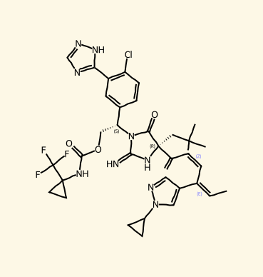 C=C(/C=C\C(=C/C)c1cnn(C2CC2)c1)[C@@]1(CC(C)(C)C)NC(=N)N([C@H](COC(=O)NC2(C(F)(F)F)CC2)c2ccc(Cl)c(-c3ncn[nH]3)c2)C1=O